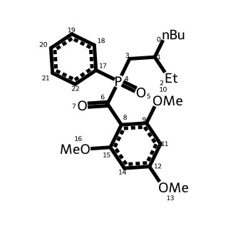 CCCCC(CC)CP(=O)(C(=O)c1c(OC)cc(OC)cc1OC)c1ccccc1